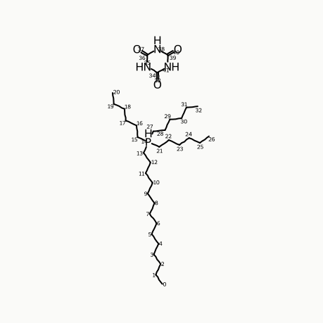 CCCCCCCCCCCCCC[PH](CCCCCC)(CCCCCC)CCCCCC.O=c1[nH]c(=O)[nH]c(=O)[nH]1